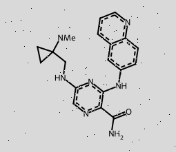 CNC1(CNc2cnc(C(N)=O)c(Nc3ccc4ncccc4c3)n2)CC1